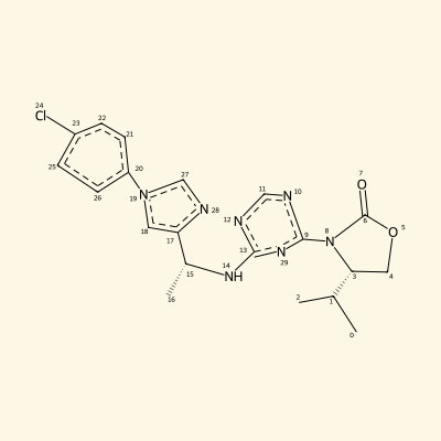 CC(C)[C@H]1COC(=O)N1c1ncnc(N[C@H](C)c2cn(-c3ccc(Cl)cc3)cn2)n1